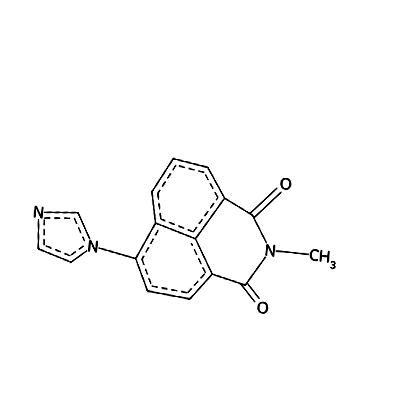 CN1C(=O)c2cccc3c(-n4ccnc4)ccc(c23)C1=O